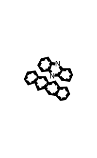 c1ccc2cc3cc4ccccc4cc3cc2c1.c1ccc2nc3ccccc3nc2c1